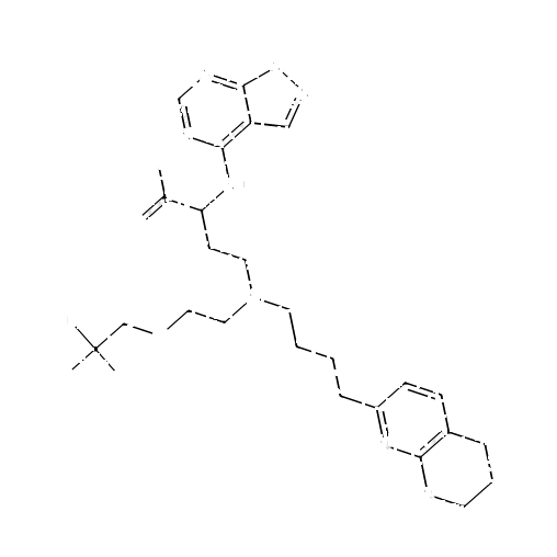 O=C(O)C(CCN(CCCCc1ccc2c(n1)NCCC2)CCOCC(F)(F)F)Nc1ncnc2[nH]ncc12